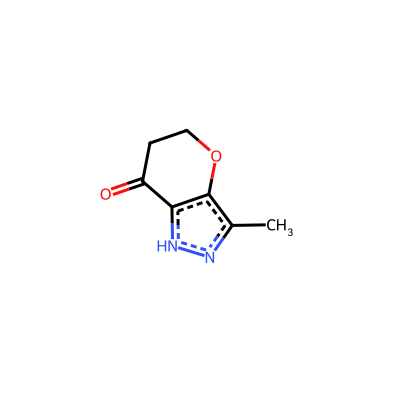 Cc1n[nH]c2c1OCCC2=O